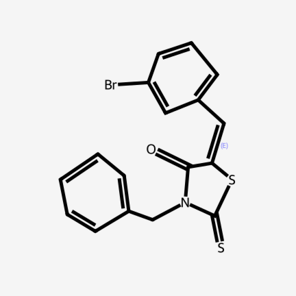 O=C1/C(=C\c2cccc(Br)c2)SC(=S)N1Cc1ccccc1